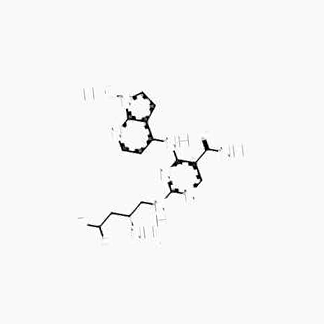 Cn1ccc2c(Nc3nc(NC[C@@H](N)CC(F)F)ncc3C(N)=O)ccnc21